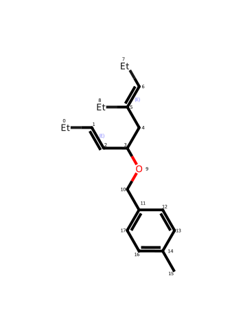 [CH2]C/C=C/C(C/C(=C/C[CH2])CC)OCc1ccc(C)cc1